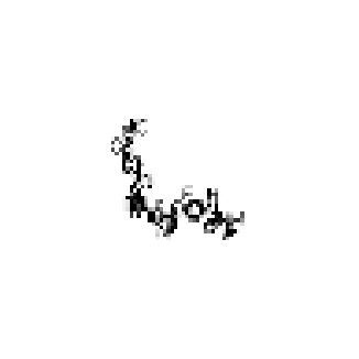 CC(=O)OCC(=O)N1CCN(C(=O)Cn2cc(-c3cc4nccc(Oc5ccc(NC(=O)NC6CC6)cc5F)c4s3)nn2)CC1